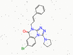 O=c1c2cc(Br)ccc2n2c(N3CCCC3)nnc2n1C/C=C/c1ccccc1